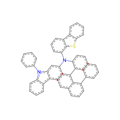 c1ccc(-c2cccc3cccc(-c4ccccc4N(c4ccc5c6ccccc6n(-c6ccccc6)c5c4)c4cccc5c4sc4ccccc45)c23)cc1